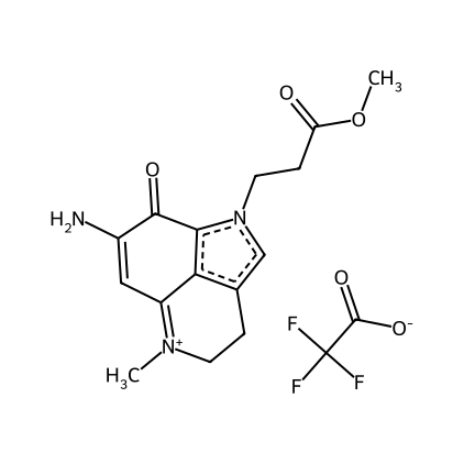 COC(=O)CCn1cc2c3c1C(=O)C(N)=CC3=[N+](C)CC2.O=C([O-])C(F)(F)F